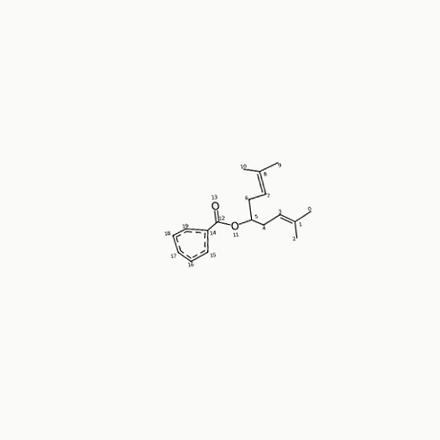 CC(C)=CCC(CC=C(C)C)OC(=O)c1ccccc1